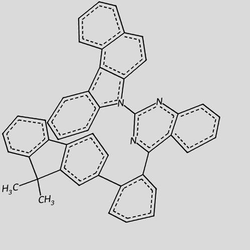 CC1(C)c2ccccc2-c2ccc(-c3ccccc3-c3nc(-n4c5ccccc5c5c6ccccc6ccc54)nc4ccccc34)cc21